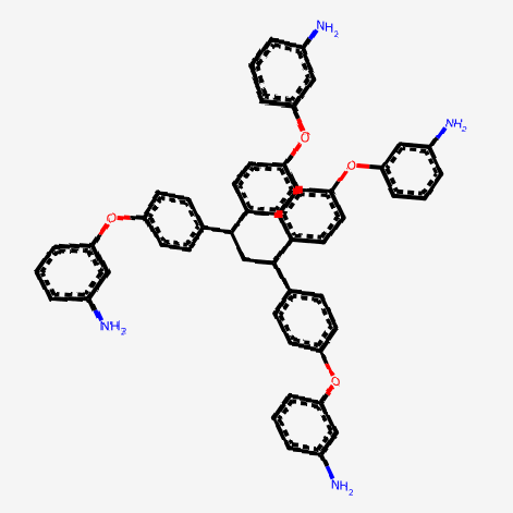 Nc1cccc(Oc2ccc(C(CC(c3ccc(Oc4cccc(N)c4)cc3)c3ccc(Oc4cccc(N)c4)cc3)c3ccc(Oc4cccc(N)c4)cc3)cc2)c1